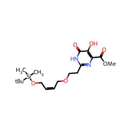 COC(=O)c1nc(CCOC/C=C\CO[Si](C)(C)C(C)(C)C)[nH]c(=O)c1O